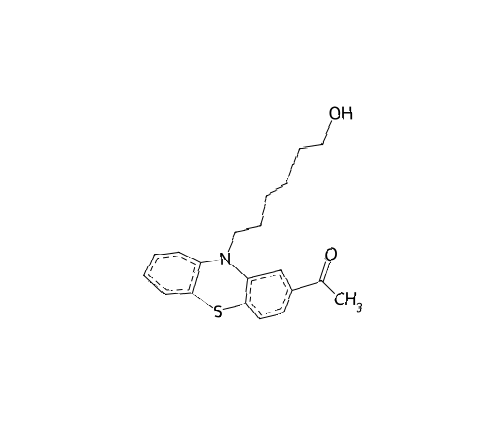 CC(=O)c1ccc2c(c1)N(CCCCCCO)c1ccccc1S2